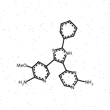 COc1cc(-c2nc(-c3ccccc3)[nH]c2-c2ccnc(N)n2)cnc1N